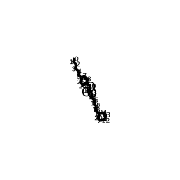 CCCCCCc1ccc(OC(=O)OCCCCCc2ccccc2)cc1